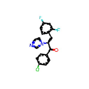 O=C(C(=Cc1ccc(F)cc1F)n1ccnc1)c1ccc(Cl)cc1